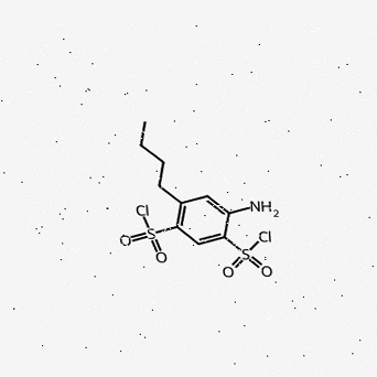 CCCCc1cc(N)c(S(=O)(=O)Cl)cc1S(=O)(=O)Cl